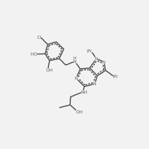 CC(O)CNc1nc(NCc2ccc(Cl)c(O)c2O)c2c(n1)c(C(C)C)nn2C(C)C